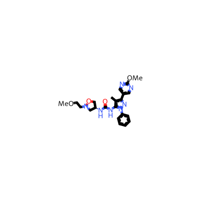 COCCN1C[C@@H](NC(=O)Nc2c(C)c(-c3cnc(OC)nc3)nn2-c2ccccc2)CO1